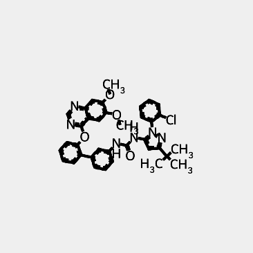 COc1cc2ncnc(Oc3ccccc3-c3cccc(NC(=O)Nc4cc(C(C)(C)C)nn4-c4ccccc4Cl)c3)c2cc1OC